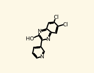 Oc1nc2cc(Cl)c(Cl)cc2nc1-c1cccnc1